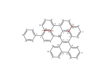 c1ccc(-c2ccc(N(c3ccccc3-c3ccccc3)c3c(-c4ccccc4)c4ccccc4c4ccccc34)cc2)cc1